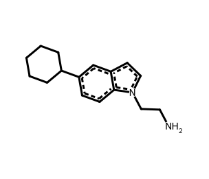 NCCn1ccc2cc(C3CCCCC3)ccc21